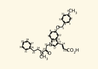 Cc1ccc(COc2ccc3c(c2)c(C=CC(=O)O)cn3CC(=O)N(C)CCc2ccccc2)cc1